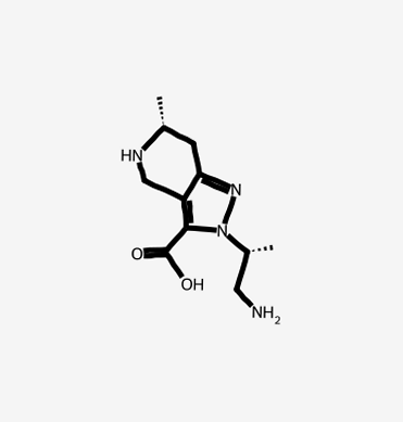 C[C@@H]1Cc2nn([C@H](C)CN)c(C(=O)O)c2CN1